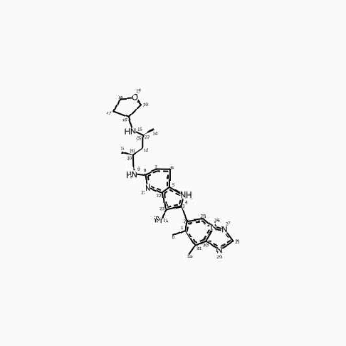 Cc1c(-c2[nH]c3ccc(N[C@@H](C)C[C@H](C)NC4CCOC4)nc3c2C(C)C)cn2ncnc2c1C